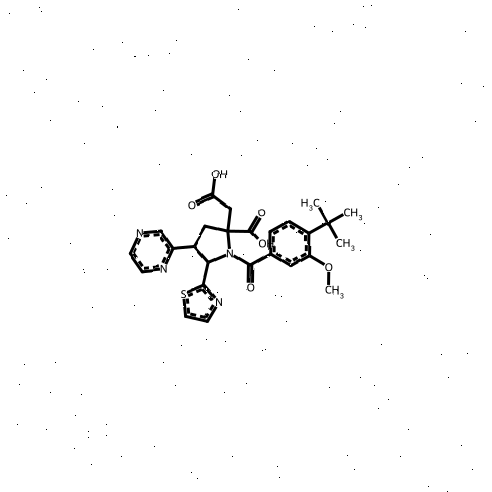 COc1cc(C(=O)N2C(c3nccs3)C(c3cnccn3)CC2(CC(=O)O)C(=O)O)ccc1C(C)(C)C